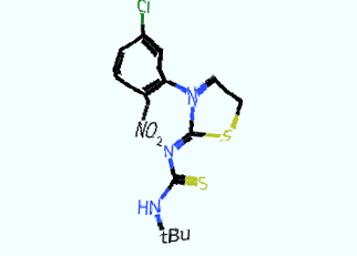 CC(C)(C)NC(=S)N=C1SCCN1c1cc(Cl)ccc1[N+](=O)[O-]